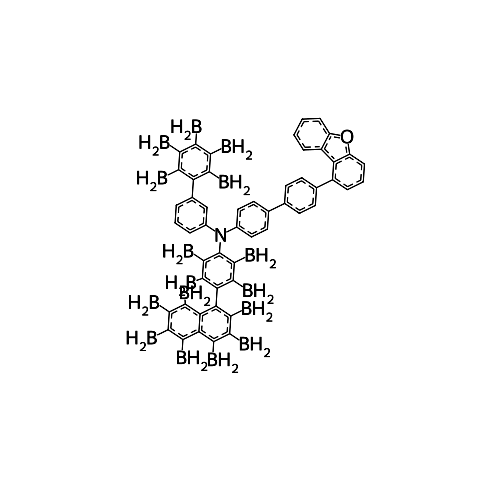 Bc1c(B)c(B)c(-c2cccc(N(c3ccc(-c4ccc(-c5cccc6oc7ccccc7c56)cc4)cc3)c3c(B)c(B)c(-c4c(B)c(B)c(B)c5c(B)c(B)c(B)c(B)c45)c(B)c3B)c2)c(B)c1B